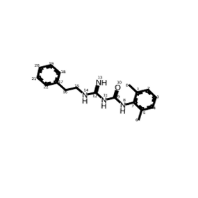 Cc1cccc(C)c1NC(=O)NC(=N)NCCc1ccccc1